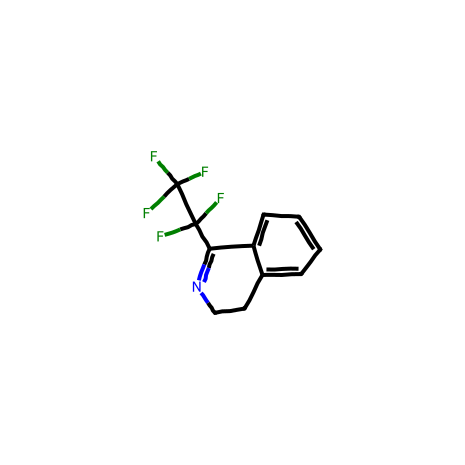 FC(F)(F)C(F)(F)C1=NCCc2ccccc21